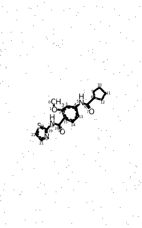 COc1cc(NC(=O)C2CCCC2)ccc1C(=O)Nc1nccs1